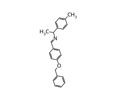 Cc1ccc(C(C)N=Cc2ccc(OCc3ccccc3)cc2)cc1